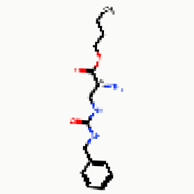 CCCCOC(=O)[C@@H](N)CNC(=O)NCc1ccccc1